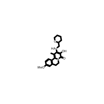 COc1ccc2c(c1)CCn1c-2c(C)c([AsH]CC2CCCCO2)c(O)c1=O